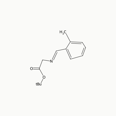 Cc1ccccc1C=NCC(=O)OC(C)(C)C